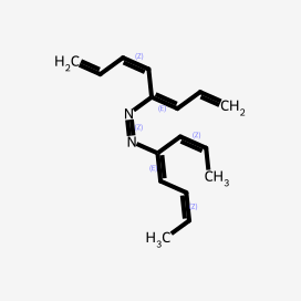 C=C/C=C\C(=C/C=C)\N=N/C(/C=C\C)=C/C=C\C